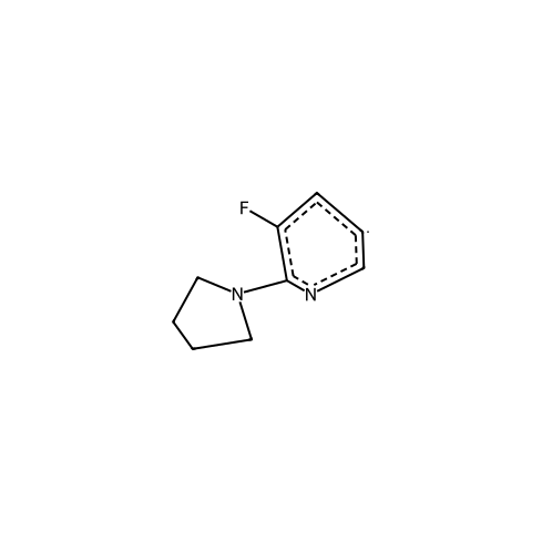 Fc1c[c]cnc1N1CCCC1